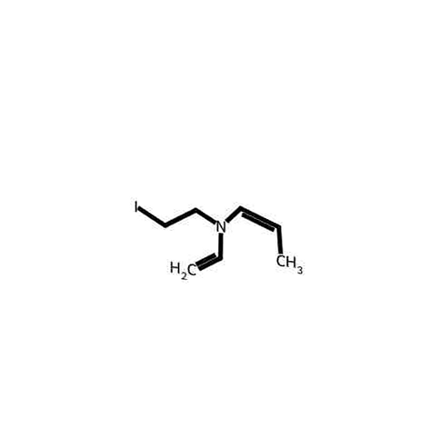 C=CN(/C=C\C)CCI